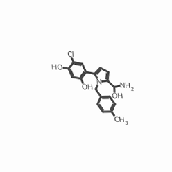 Cc1ccc(Cn2c(-c3cc(Cl)c(O)cc3O)ccc2C(N)O)cc1